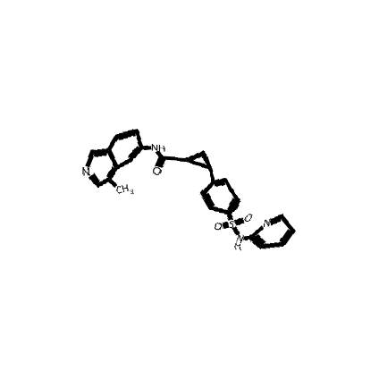 Cc1cncc2ccc(NC(=O)C3CC3c3ccc(S(=O)(=O)Nc4ccccn4)cc3)cc12